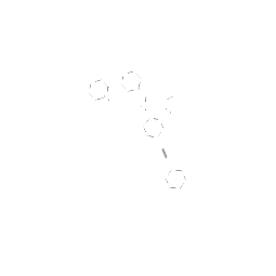 O=C1CC(c2cccc(-c3ccccn3)c2)=Nc2ccc(C#Cc3ccc(F)cc3)cc2N1